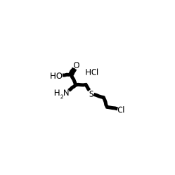 Cl.NC(CSCCCl)C(=O)O